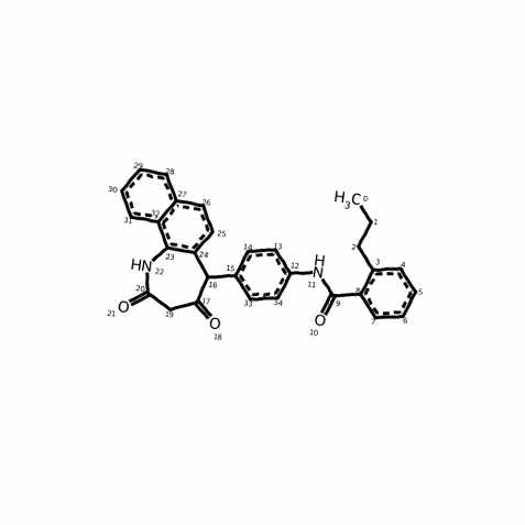 CCCc1ccccc1C(=O)Nc1ccc(C2C(=O)CC(=O)Nc3c2ccc2ccccc32)cc1